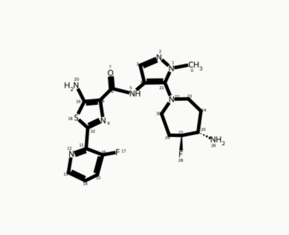 Cn1ncc(NC(=O)c2nc(-c3ncccc3F)sc2N)c1N1CC[C@H](N)[C@@H](F)CC1